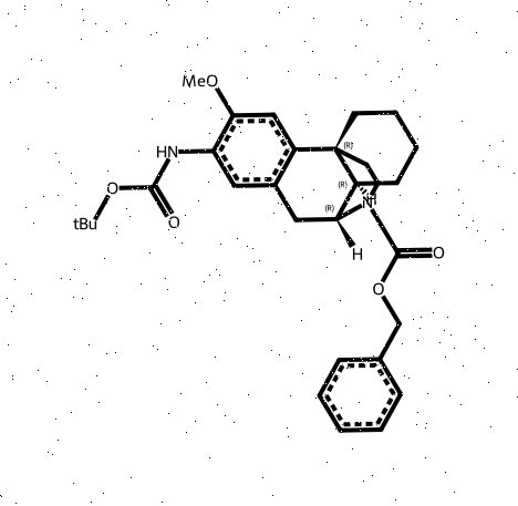 COc1cc2c(cc1NC(=O)OC(C)(C)C)C[C@@H]1[C@@H]3CCCC[C@]23CCN1C(=O)OCc1ccccc1